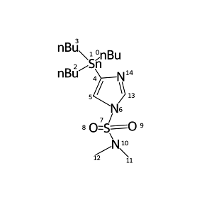 CCC[CH2][Sn]([CH2]CCC)([CH2]CCC)[c]1cn(S(=O)(=O)N(C)C)cn1